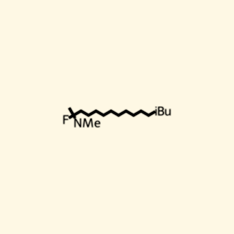 CCC(C)CCCCCCCCCCC(C)(F)NC